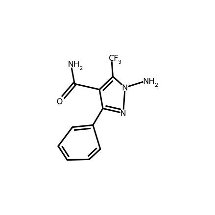 NC(=O)c1c(-c2ccccc2)nn(N)c1C(F)(F)F